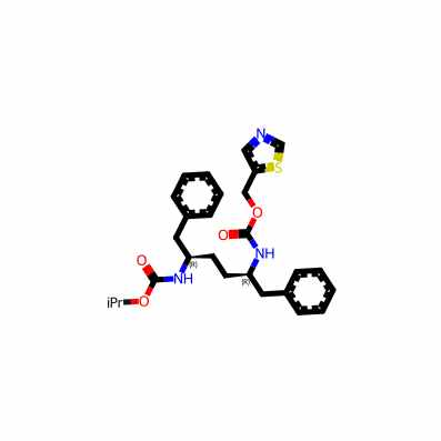 CC(C)OC(=O)N[C@H](CC[C@H](Cc1ccccc1)NC(=O)OCc1cncs1)Cc1ccccc1